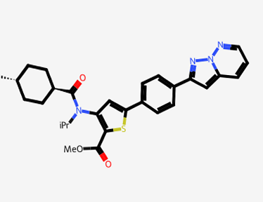 COC(=O)c1sc(-c2ccc(-c3cc4cccnn4n3)cc2)cc1N(C(=O)[C@H]1CC[C@H](C)CC1)C(C)C